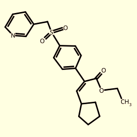 CCOC(=O)C(=CC1CCCC1)c1ccc(S(=O)(=O)Cc2cccnc2)cc1